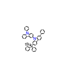 CC(C)(C)[Si](c1ccccc1)(c1ccccc1)c1ccc2c3ccc(-c4ccccc4)cc3n(-c3ccc4c(c3)c3ccccc3n4-c3ccccc3)c2c1